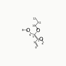 C=C/C(OC)=C(\COC)OCCC